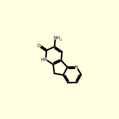 Nc1cc2c([nH]c1=O)Cc1cccnc1-2